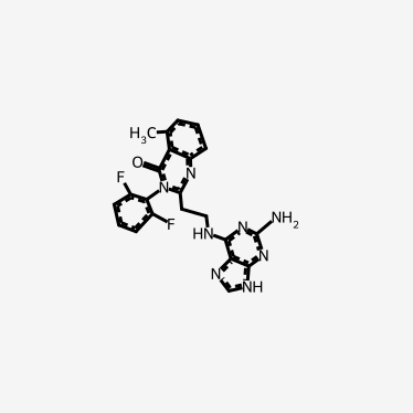 Cc1cccc2nc(CCNc3nc(N)nc4[nH]cnc34)n(-c3c(F)cccc3F)c(=O)c12